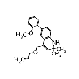 C=CCOCC1=CC(C)(C)Nc2ccc(-c3ccccc3OC)cc21